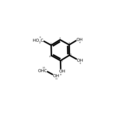 O=C(O)c1cc(O)c(O)c(O)c1.O=CO